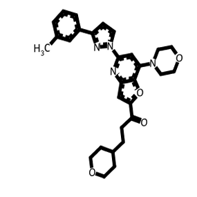 Cc1cccc(-c2ccn(-c3cc(N4CCOCC4)c4oc(C(=O)CCC5CCOCC5)cc4n3)n2)c1